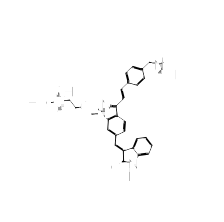 CN(C)Cc1ccc(C=Cc2nn(COCC[Si](C)(C)C)c3cc(/C=C4/C(=O)Nc5ccccc54)ccc23)cc1